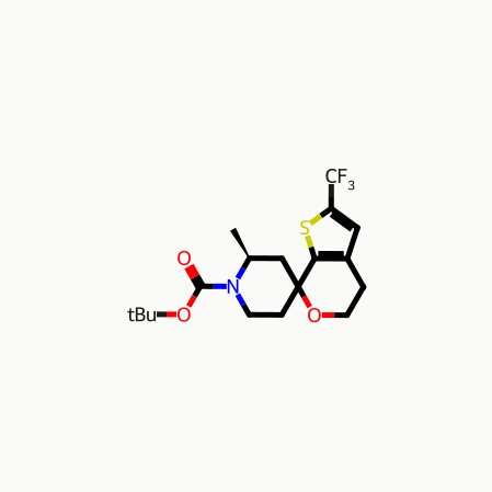 C[C@H]1CC2(CCN1C(=O)OC(C)(C)C)OCCc1cc(C(F)(F)F)sc12